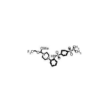 COC(OCC(F)(F)F)N1CCN(c2ccccc2NS(=O)(=O)c2ccc(S(=O)(=O)N(C)C)cc2)CC1